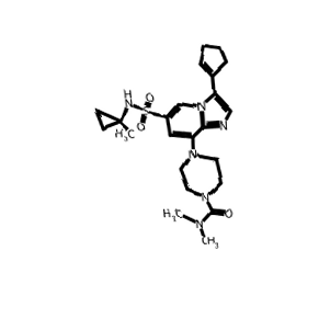 CN(C)C(=O)N1CCN(c2cc(S(=O)(=O)NC3(C)CC3)cn3c(C4=CCCC4)cnc23)CC1